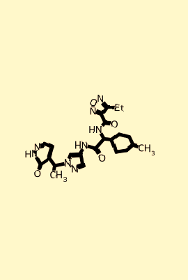 CCc1nonc1C(=O)NC(C(=O)Nc1cnn(C(C)c2ccn[nH]c2=O)c1)C1CCC(C)CC1